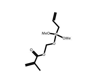 C=CC[Si](OC)(OC)OCOC(=O)C(=C)C